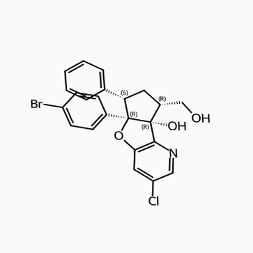 OC[C@H]1C[C@@H](c2ccccc2)[C@]2(c3ccc(Br)cc3)Oc3cc(Cl)cnc3[C@]12O